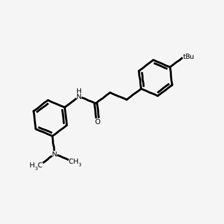 CN(C)c1cccc(NC(=O)CCc2ccc(C(C)(C)C)cc2)c1